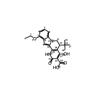 CCOc1cccc2c1cc1n2CC(C(C)(C)C)c2c-1[nH]c(=O)c(C(=O)O)c2O